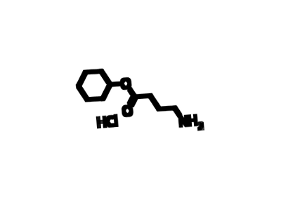 Cl.NCCCC(=O)OC1CCCCC1